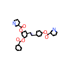 O=C(Oc1cc(/C=C/c2ccc(OC(=O)c3cccnc3)cc2)cc(OC(=O)c2cccnc2)c1)c1ccccc1